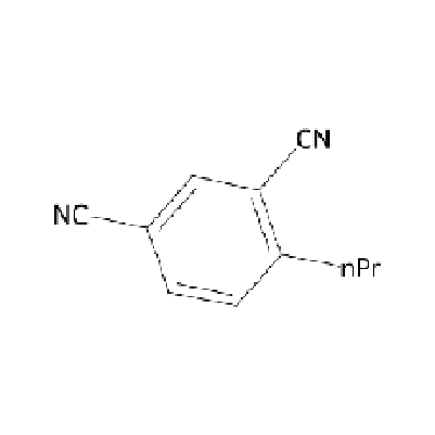 CCCc1ccc(C#N)cc1C#N